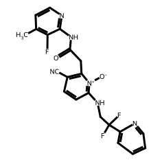 Cc1ccnc(NC(=O)Cc2c(C#N)ccc(NCC(F)(F)c3ccccn3)[n+]2[O-])c1F